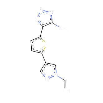 CCn1cc(-c2ccc(-c3n[nH]nc3N)s2)cn1